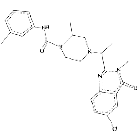 Cc1cccc(NC(=O)N2CCN(C(C)c3nc4ccc(Cl)cc4c(=O)n3C)CC2C)c1